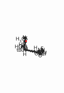 Cc1ncsc1-c1ccc(CNC(=O)[C@@H]2C[C@@H](O)CN2C(=O)C(NC(=O)CCCCCCCCCNC(=O)c2cc(N)c3n2CC(=O)N[C@@H]3c2cc(F)ccc2Cl)C(C)(C)C)cc1